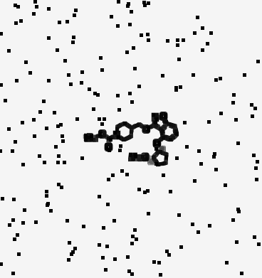 CO[C@H]1CCC[C@H]1Oc1cccc2onc(OCC3CCN(C(=O)OC(C)(C)C)CC3)c12